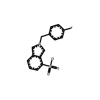 O=S(=O)(Cl)c1cccc2cn(Cc3ccc(F)cc3)cc12